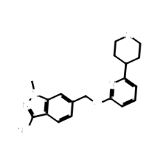 Cn1nc(C#N)c2ccc(COc3cccc(C4CCNCC4)n3)cc21